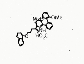 COc1cccc(OC)c1-c1ccccc1-c1cccc2c(CCCOc3cccc4ccccc34)c(C(=O)O)[nH]c12